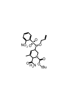 C=CCON(C1C=C(C)C(C(N)=O)N(C(=O)OC(C)(C)C)C1)S(=O)(=O)c1ccccc1[N+](=O)[O-]